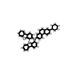 c1ccc2c(c1)oc1cc(N(c3ccc4c(ccc5cc(C6CCCCC6)ccc54)c3)c3cccc4c3sc3ccccc34)ccc12